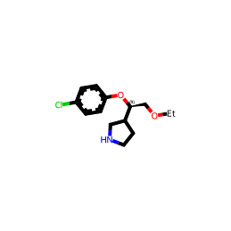 CCOC[C@H](Oc1ccc(Cl)cc1)C1CCNC1